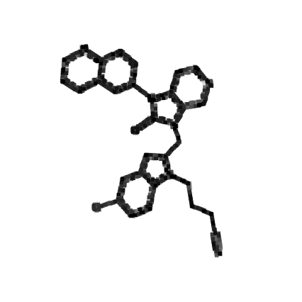 N#CCCCn1c(Cn2c(=O)n(-c3ccc4ncccc4c3)c3ccncc32)cc2cc(Cl)ccc21